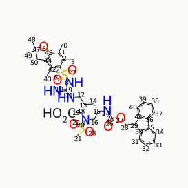 Cc1c(C)c(S(=O)(=O)NC(=N)NCCC[C@@H](CN(CC(=O)O)S(C)(=O)=O)NC(=O)OCC2c3ccccc3-c3ccccc32)c(C)c2c1OC(C)(C)C2